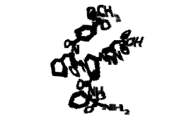 CS(=O)(=O)c1ccc(C(=O)/N=C(\CC2CCCCC2)C(=O)N2C[C@@H](n3cc(CS(=O)(=O)O)nn3)C[C@H]2C(=O)NC2(C(=O)C(N)=O)CCCCC2)cc1